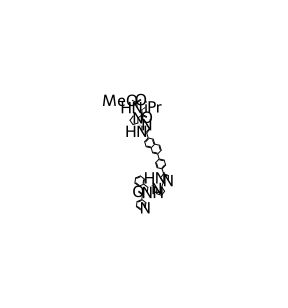 COC(=O)N[C@H](C(=O)N1CCC[C@H]1c1ncc(-c2ccc3cc(-c4ccc(-c5cnc(C6CCCN6C[C@H](NC(=O)c6cccnc6)c6ccccc6)[nH]5)cc4)ccc3c2)[nH]1)C(C)C